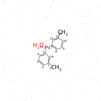 Cc1cccc([P]c2cccc(C)c2)c1.O